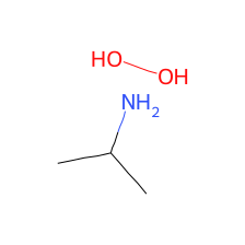 CC(C)N.OO